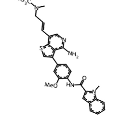 COc1cc(-c2csc3c(C=CCN(C)C(=O)O)cnc(N)c23)ccc1NC(=O)c1cc2ccccc2n1C